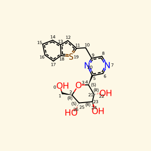 OC[C@H]1O[C@@H](c2cncc(Cc3cc4ccccc4s3)n2)[C@H](O)[C@@H](O)[C@@H]1O